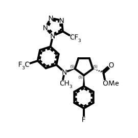 COC(=O)[C@H]1CC[C@H](N(C)c2cc(-n3nnnc3C(F)(F)F)cc(C(F)(F)F)c2)[C@@H]1c1ccc(F)cc1